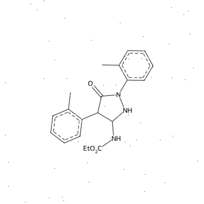 CCOC(=O)NC1NN(c2ccccc2C)C(=O)C1c1ccccc1C